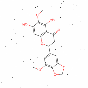 COc1cc(C2CC(=O)c3c(cc(O)c(OC)c3O)O2)cc2c1OCO2